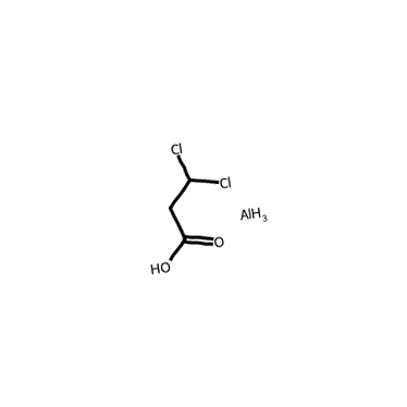 O=C(O)CC(Cl)Cl.[AlH3]